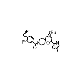 Cc1cnc(C2CN(C(C)(C)C)CC3(CCN(C(=O)c4ccc(OC(C)C)c(F)c4)CC3)O2)o1